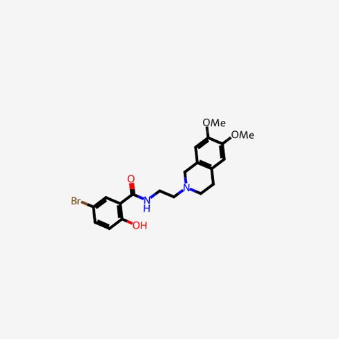 COc1cc2c(cc1OC)CN(CCNC(=O)c1cc(Br)ccc1O)CC2